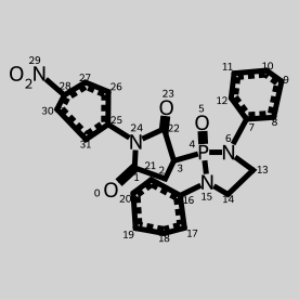 O=C1CC(P2(=O)N(c3ccccc3)CCN2c2ccccc2)C(=O)N1c1ccc([N+](=O)[O-])cc1